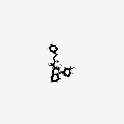 O=C(NCCc1ccc(F)cc1)c1cc2ccccc2n(-c2cccc(C(F)(F)F)c2)c1=O